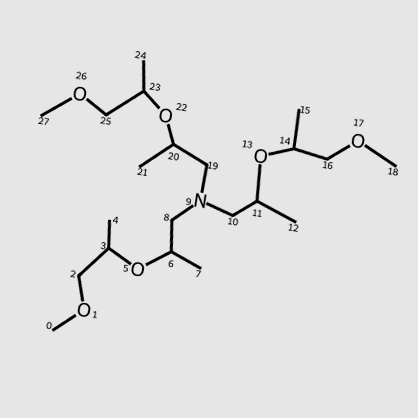 COCC(C)OC(C)CN(CC(C)OC(C)COC)CC(C)OC(C)COC